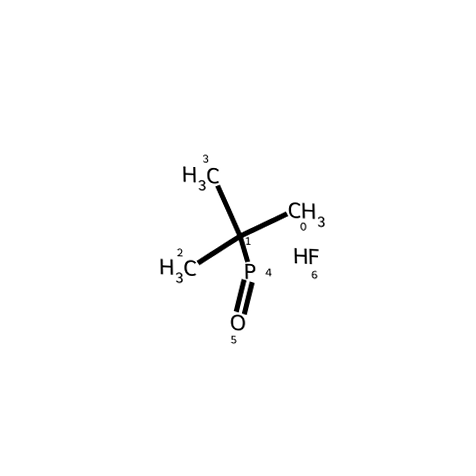 CC(C)(C)P=O.F